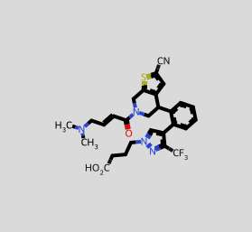 CN(C)C/C=C/C(=O)N1Cc2sc(C#N)cc2C(c2ccccc2-c2cn(CCCC(=O)O)nc2C(F)(F)F)C1